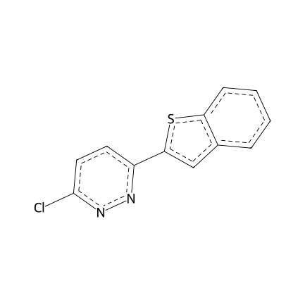 Clc1ccc(-c2cc3ccccc3s2)nn1